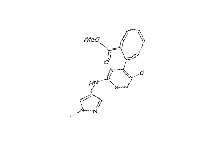 COC(=O)c1ccccc1-c1nc(Nc2cnn(C)c2)ncc1Cl